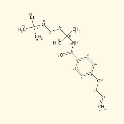 C=CCOc1ccc(C(=O)NC(C)(C)CCOC(C)(C)CC)cc1